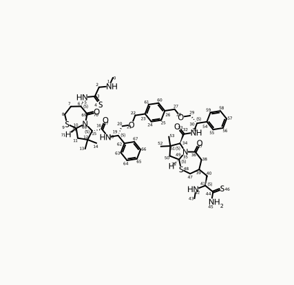 CNCC(=S)N[C@H]1CCS[C@H]2CC(C)(C)[C@@H](C(=O)N[C@H](COCc3ccc(COC[C@@H](NC(=O)[C@H]4N5C(=O)CC(C[C@H](NC)C(N)=S)CS[C@H]5CC4(C)C)c4ccccc4)cc3)c3ccccc3)N2C1=O